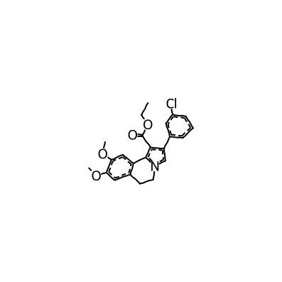 CCOC(=O)c1c(-c2cccc(Cl)c2)cn2c1-c1cc(OC)c(OC)cc1CC2